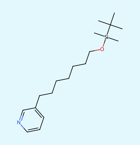 CC(C)(C)[Si](C)(C)OCCCCCCCc1cccnc1